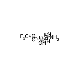 C[C@@]1(c2ccc3c(N)ncnn23)O[C@H](CCC(=O)OC23CC(C(F)(F)F)(C2)C3)[C@@H](O)[C@H]1O